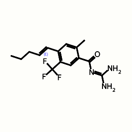 CCC/C=C/c1cc(C)c(C(=O)N=C(N)N)cc1C(F)(F)F